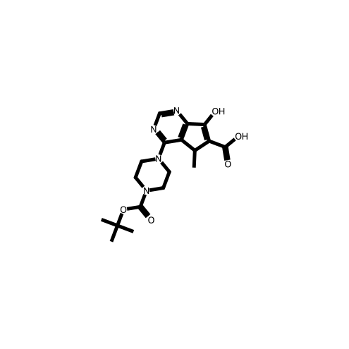 CC1C(C(=O)O)=C(O)c2ncnc(N3CCN(C(=O)OC(C)(C)C)CC3)c21